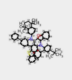 CC(C)(C)c1ccc(N2c3cc4c(sc5ccccc54)c4c3B(c3oc5ccccc5c32)N(c2ccc3c(c2)C(C)(C)CCC3(C)C)c2cc(-c3ccccc3)ccc2-4)c(-c2ccccc2)c1